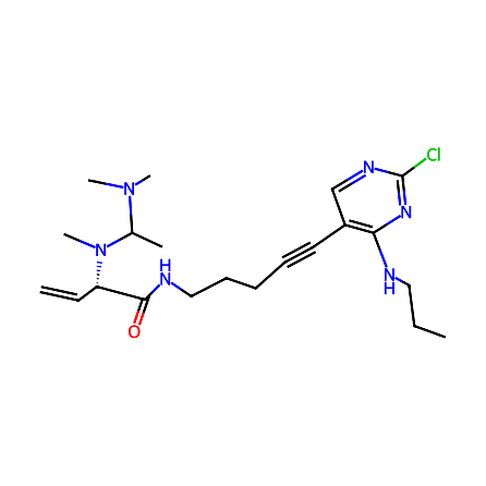 C=C[C@@H](C(=O)NCCCC#Cc1cnc(Cl)nc1NCCC)N(C)C(C)N(C)C